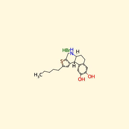 Br.CCCCCc1cc2c(s1)CN[C@H]1CCc3cc(O)c(O)cc3[C@H]21